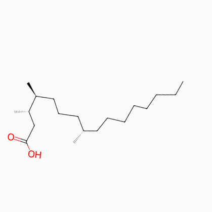 CCCCCCCC[C@H](C)CCC[C@H](C)[C@@H](C)CC(=O)O